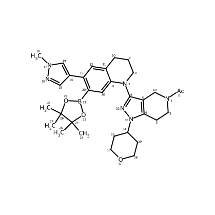 CC(=O)N1CCc2c(c(N3CCCc4cc(-c5cnn(C)c5)c(B5OC(C)(C)C(C)(C)O5)cc43)nn2C2CCOCC2)C1